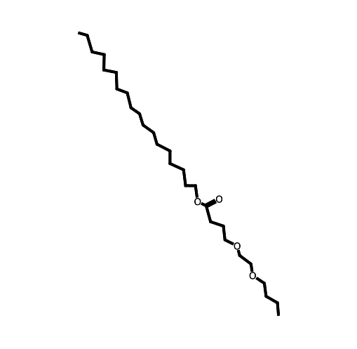 CCCCCCCCCCCCCCCCCCOC(=O)CCCOCCOCCCC